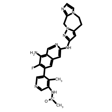 Cc1c(N[S+](C)[O-])cncc1-c1cc2cc(Nc3cc4n(n3)Cc3nccn3CC4)ncc2c(N)c1F